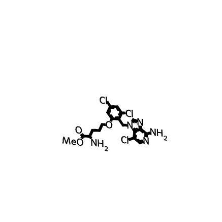 COC(=O)C(N)CCCOc1cc(Cl)cc(Cl)c1Cn1cnc2c(N)ncc(Cl)c21